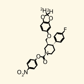 [2H]C1([2H])Oc2ccc(OC[C@@H]3CN(C(=O)Oc4ccc([N+](=O)[O-])cc4)CC[C@H]3c3ccc(F)cc3)cc2O1